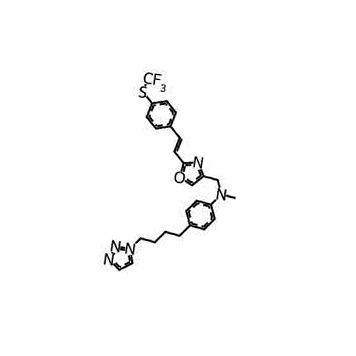 CN(Cc1coc(C=Cc2ccc(SC(F)(F)F)cc2)n1)c1ccc(CCCCn2ccnn2)cc1